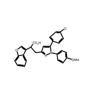 COc1ccc(-n2nc(CC(C(=O)O)c3coc4ccccc34)cc2-c2ccc(Cl)cc2)cc1